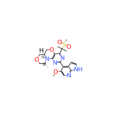 COc1cnc2[nH]ccc2c1-c1nc2c(c(C(C)(C)S(C)(=O)=O)n1)OC[C@@H]1COC[C@@H](C)N21